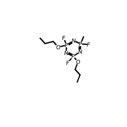 CCCOP1(F)=NP(C)(F)=NP(F)(OCCC)=N1